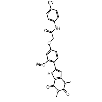 COc1cc(OCC(=O)Nc2ccc(C#N)cc2)ccc1-c1cc2c([nH]1)c(=O)n(C)c(=O)n2C